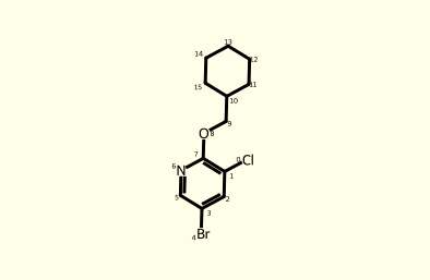 Clc1cc(Br)cnc1OCC1CCCCC1